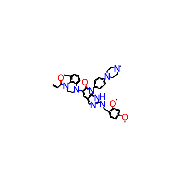 C=CC(=O)N1CCN(c2cc3cnc(NCc4ccc(OC)cc4OC)nc3n(-c3ccc(N4CCN(C)CC4)cc3)c2=O)c2cccc(C)c21